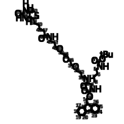 CC(C)(C)OC(=O)NCCCC[C@H](NC(=O)OCC1c2ccccc2-c2ccccc21)C(=O)NCCCOCCOCCOCCCNC(=O)CCCC[C@@H]1SC[C@@H]2NC(=O)N[C@@H]21